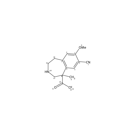 COc1cc2c(cc1C#N)C(C)(C(=O)C(F)(F)F)CNCC2